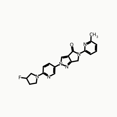 Cc1cccc(N2Cc3nn(-c4ccc(N5CCC(F)C5)nc4)cc3C2=O)n1